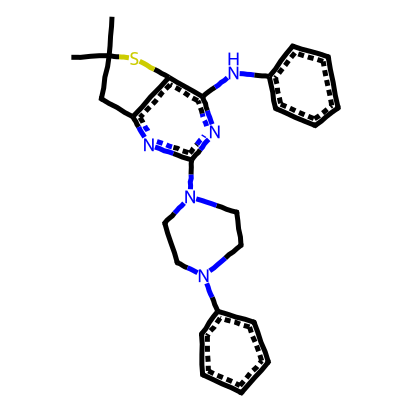 CC1(C)Cc2nc(N3CCN(c4ccccc4)CC3)nc(Nc3ccccc3)c2S1